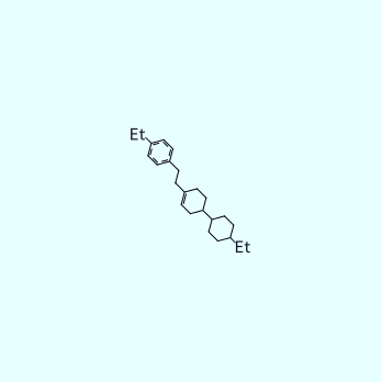 CCc1ccc(CCC2=CCC(C3CCC(CC)CC3)CC2)cc1